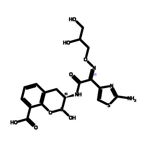 Nc1nc(/C(=N/OCC(O)CO)C(=O)N[C@H]2Cc3cccc(C(=O)O)c3OB2O)cs1